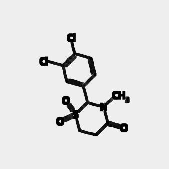 CN1C(=O)CCS(=O)(=O)C1c1ccc(Cl)c(Cl)c1